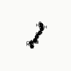 O=C1CCC(Nc2ccc(C3CCN(CC(=O)N4CCN(c5ccc(Nc6ncc(Cl)c(Nc7ccccc7)n6)c(Cl)c5)CC4)CC3)cc2)C(=O)N1